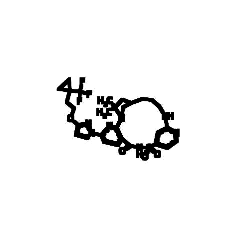 CC1(C)CC2CCCNc3cc(ccn3)S(=O)(=O)NC(=O)c3ccc(-n4ccc(OCCC5(C(F)(F)F)CC5)n4)nc3N1C2